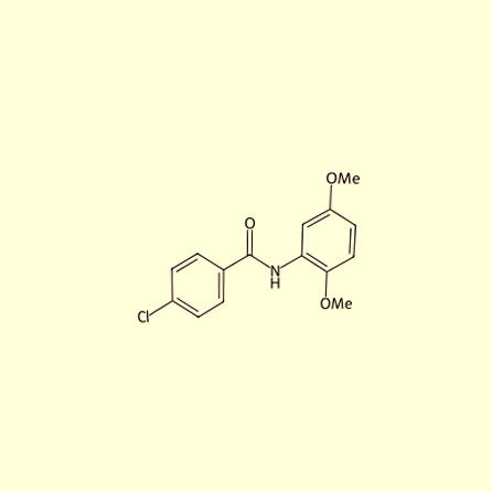 COc1ccc(OC)c(NC(=O)c2ccc(Cl)cc2)c1